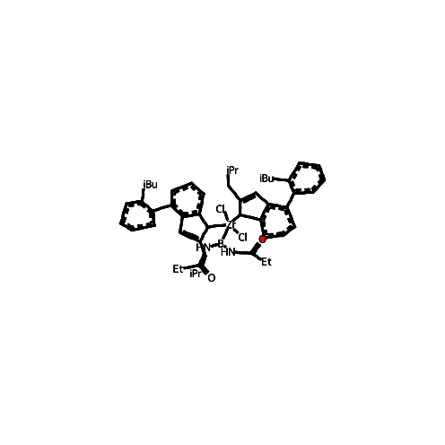 CCC(=O)N[B](NC(=O)CC)[Zr]([Cl])([Cl])([CH]1C(CC(C)C)=Cc2c(-c3ccccc3C(C)CC)cccc21)[CH]1C(CC(C)C)=Cc2c(-c3ccccc3C(C)CC)cccc21